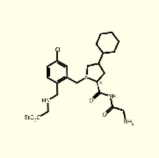 CCOC(=O)CNCc1ccc(Cl)cc1CN1CC(C2CCCCC2)C[C@H]1C(=O)NC(=O)CN